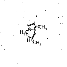 C/C(S)=C/c1c(C)ccn1C